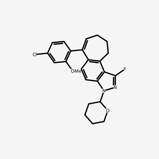 COc1cc(Cl)ccc1C1=CCCCc2c1ccc1c2c(F)nn1C1CCCCO1